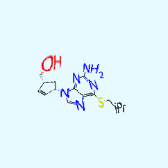 CC(C)CSc1nc(N)nc2c1ncn2[C@@H]1C=C[C@H](CO)C1